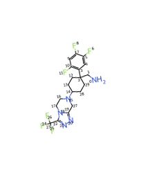 NCC1(c2cc(F)c(F)cc2F)CCC(N2CCn3c(nnc3C(F)(F)F)C2)CC1